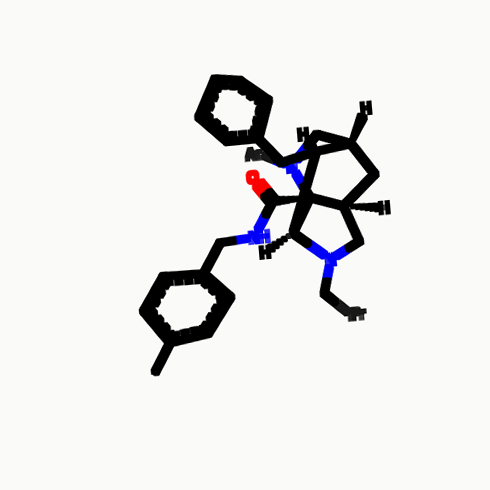 CC(=O)N1C[C@@H]2C[C@H]3CN(CC(C)C)[C@@H]([C@@H]2Cc2ccccc2)[C@]31C(=O)NCc1ccc(C)cc1